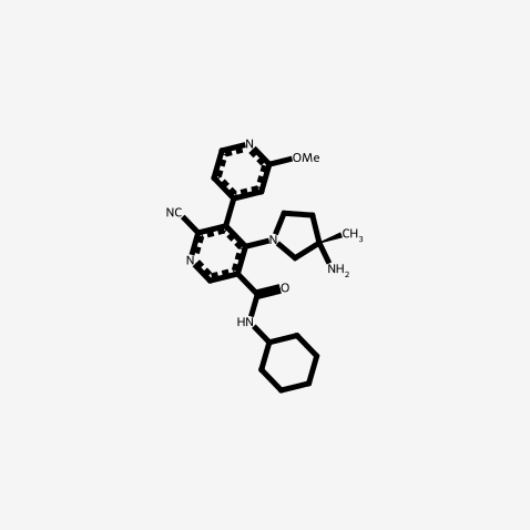 COc1cc(-c2c(C#N)ncc(C(=O)NC3CCCCC3)c2N2CC[C@](C)(N)C2)ccn1